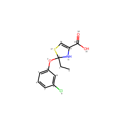 CCC1(Oc2cccc(Cl)c2)NC(C(=O)O)=CS1